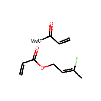 C=CC(=O)OC.C=CC(=O)OCC=C(C)F